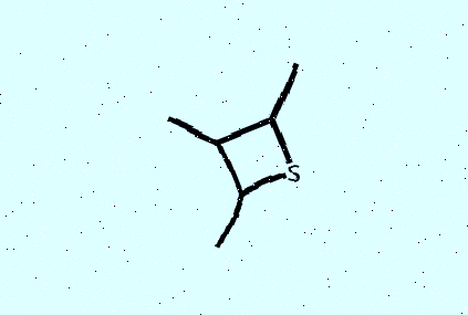 CC1SC(C)C1C